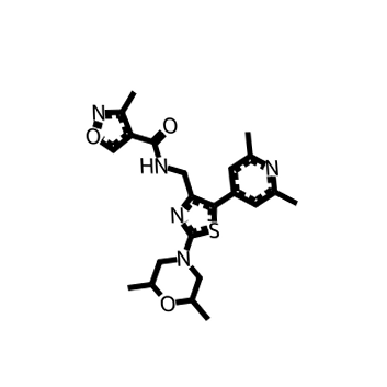 Cc1cc(-c2sc(N3CC(C)OC(C)C3)nc2CNC(=O)c2conc2C)cc(C)n1